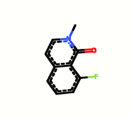 Cn1ccc2cccc(F)c2c1=O